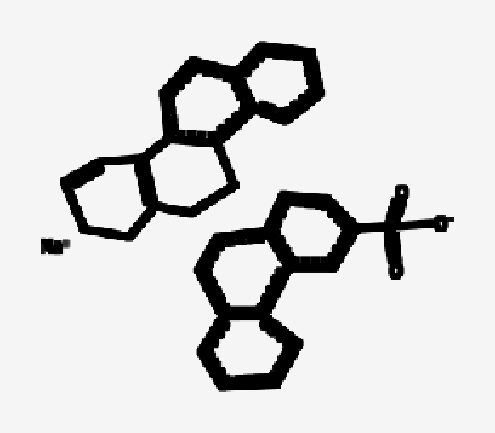 C1=CC2=C(CC1)CCc1c2ccc2ccccc12.O=S(=O)([O-])c1ccc2ccc3ccccc3c2c1.[Na+]